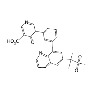 CC(C)(c1cc(-c2cccc(C3C=NC=C(C(=O)O)C3=O)c2)c2ncccc2c1)S(C)(=O)=O